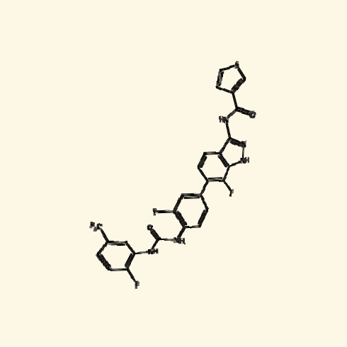 O=C(Nc1ccc(-c2ccc3c(NC(=O)c4ccsc4)n[nH]c3c2F)cc1F)Nc1cc(C(F)(F)F)ccc1F